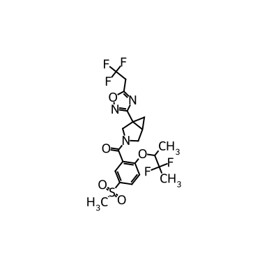 CC(Oc1ccc(S(C)(=O)=O)cc1C(=O)N1CC2CC2(c2noc(CC(F)(F)F)n2)C1)C(C)(F)F